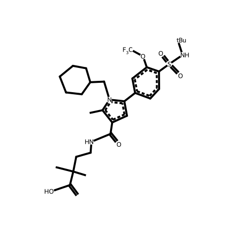 C=C(O)C(C)(C)CCNC(=O)c1cc(-c2ccc(S(=O)(=O)NC(C)(C)C)c(OC(F)(F)F)c2)n(CC2CCCCC2)c1C